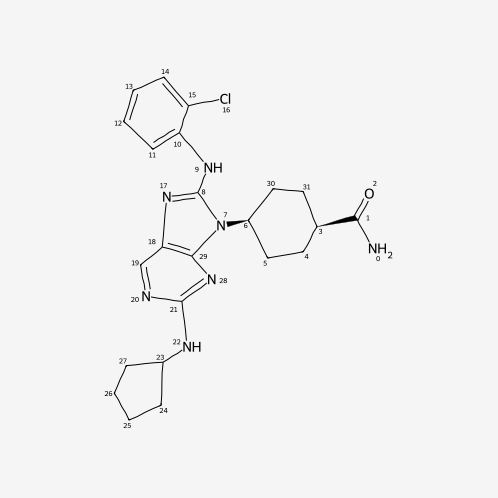 NC(=O)[C@H]1CC[C@@H](n2c(Nc3ccccc3Cl)nc3cnc(NC4CCCC4)nc32)CC1